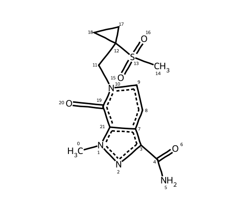 Cn1nc(C(N)=O)c2ccn(CC3(S(C)(=O)=O)CC3)c(=O)c21